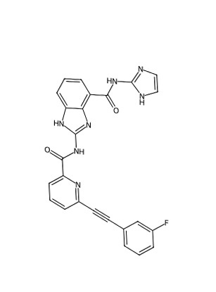 O=C(Nc1nc2c(C(=O)Nc3ncc[nH]3)cccc2[nH]1)c1cccc(C#Cc2cccc(F)c2)n1